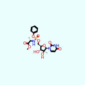 COC(=O)[C@H](C)NP(=O)(OC[C@H]1O[C@@H](n2ccc(=O)[nH]c2=O)[C@@](C)(O)[C@@H]1O)Oc1ccccc1